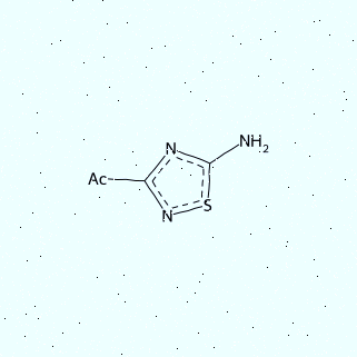 CC(=O)c1nsc(N)n1